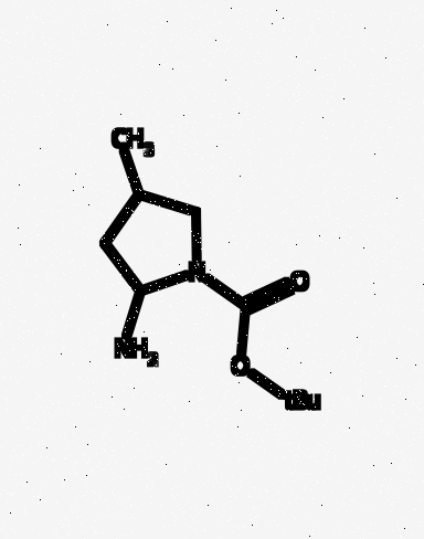 CC1CC(N)N(C(=O)OC(C)(C)C)C1